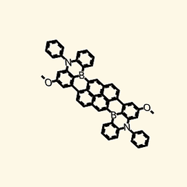 COc1cc2c3c(c1)N(c1ccccc1)c1ccccc1B3c1cc3ccc4c5c(cc6ccc-2c1c6c35)B1c2ccccc2N(c2ccccc2)c2cc(OC)cc-4c21